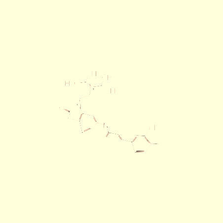 CC(C)N(CCn1c(=O)oc2ccc(NC(=O)C=Cc3ccc(Cl)c(Cl)c3)cc21)C(C)C